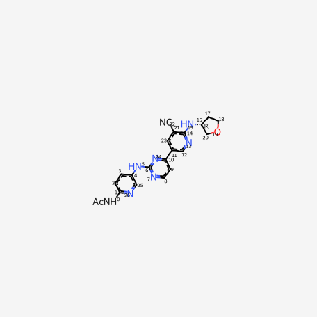 CC(=O)Nc1ccc(Nc2nccc(-c3cnc(N[C@@H]4CCOC4)c(C#N)c3)n2)cn1